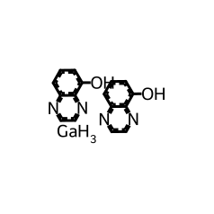 Oc1cccc2nccnc12.Oc1cccc2nccnc12.[GaH3]